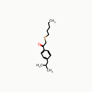 CCCCCSCC(=O)c1ccc(CC(C)C)cc1